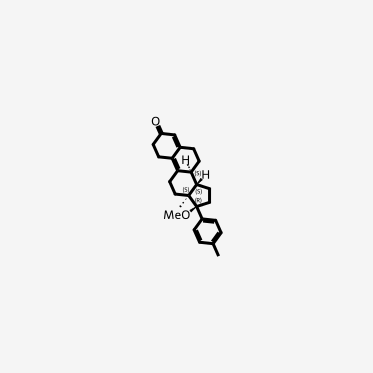 CO[C@]1(c2ccc(C)cc2)CC[C@H]2[C@@H]3CCC4=CC(=O)CCC4=C3CC[C@@]21C